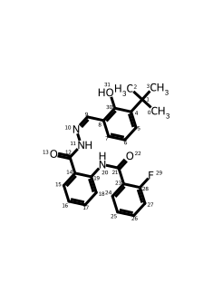 CC(C)(C)c1cccc(/C=N\NC(=O)c2ccccc2NC(=O)c2ccccc2F)c1O